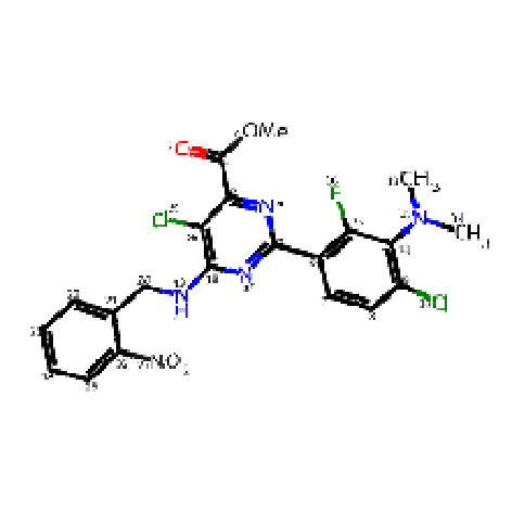 COC(=O)c1nc(-c2ccc(Cl)c(N(C)C)c2F)nc(NCc2ccccc2[N+](=O)[O-])c1Cl